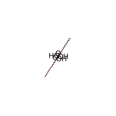 CCCCCCCCCCCCCCCCCC(=O)C(O)C(O)C(O)C(=O)CCCCCCCCCCCCCCC